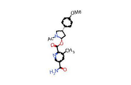 COc1ccc([C@@H]2C[C@@H](OC(=O)c3ncc(C(N)=O)cc3C)N(C(C)=O)C2)cc1